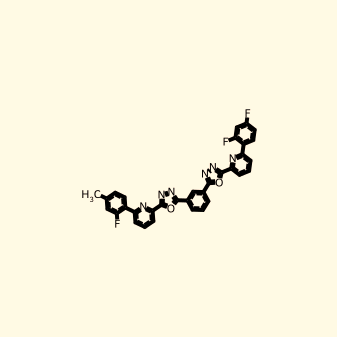 Cc1ccc(-c2cccc(-c3nnc(-c4cccc(-c5nnc(-c6cccc(-c7ccc(F)cc7F)n6)o5)c4)o3)n2)c(F)c1